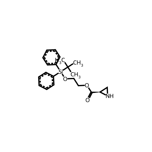 CC(C)(C)[Si](OCCOC(=O)[C@H]1CN1)(c1ccccc1)c1ccccc1